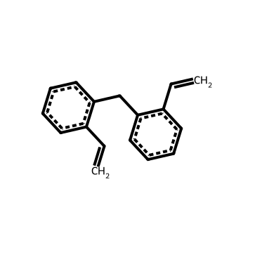 C=Cc1ccccc1Cc1ccccc1C=C